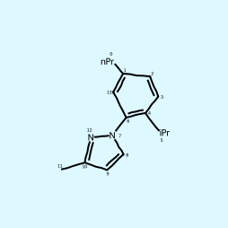 CCCc1ccc(C(C)C)c(-n2ccc(C)n2)c1